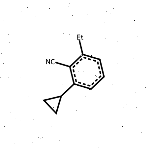 CCc1cccc(C2CC2)c1C#N